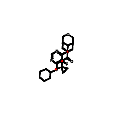 CC1(OC(=O)N2CC3COCC(C2)C3Oc2ncnc(OC3CCCCC3)c2F)CC1